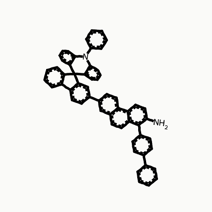 Nc1ccc2c(ccc3cc(-c4ccc5c(c4)C4(c6ccccc6-5)c5ccccc5N(c5ccccc5)c5ccccc54)ccc32)c1-c1ccc(-c2ccccc2)cc1